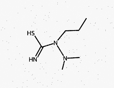 CCCN(C(=N)S)N(C)C